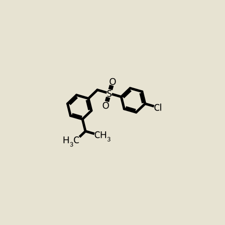 CC(C)c1cccc(CS(=O)(=O)c2ccc(Cl)cc2)c1